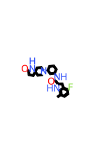 Cc1ccc(F)c2c1NC(C(=O)N[C@@H]1CCC[C@H](N3CCC4(CCC(=O)N4)CC3)C1)C2